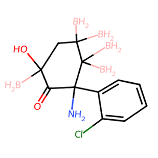 BC1(O)CC(B)(B)C(B)(B)C(N)(c2ccccc2Cl)C1=O